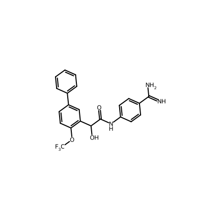 N=C(N)c1ccc(NC(=O)C(O)c2cc(-c3ccccc3)ccc2OC(F)(F)F)cc1